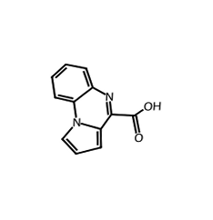 O=C(O)c1nc2ccccc2n2cccc12